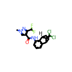 Cn1cc(C(=O)Nc2cccc3c2[C@H]2CCC3C2=C(Cl)Cl)c(C(F)F)n1